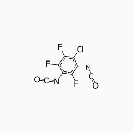 O=C=Nc1c(F)c(F)c(Cl)c(N=C=O)c1F